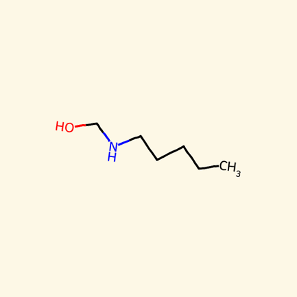 CCCCCNCO